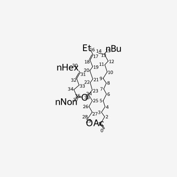 C=CCCCCCCCCCCCC(C)CCCC.CCC=CCCCCCCCCCCOC(C)=O.CCCCCCC=CCCC(=O)CCCCCCCCC